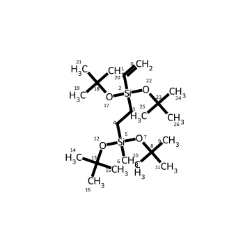 C=C[Si](CC[Si](C)(OC(C)(C)C)OC(C)(C)C)(OC(C)(C)C)OC(C)(C)C